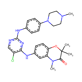 CN1CCN(c2ccc(Nc3ncc(Cl)c(Nc4ccc5c(c4)N(C)C(=O)C(C)(C)O5)n3)cc2)CC1